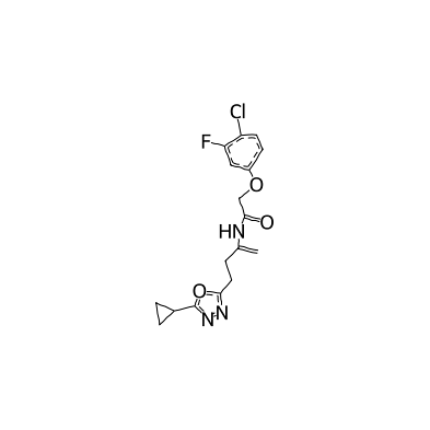 C=C(CCc1nnc(C2CC2)o1)NC(=O)COc1ccc(Cl)c(F)c1